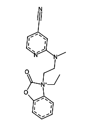 CC[N+]1(CCN(C)c2cc(C#N)ccn2)C(=O)Oc2ccccc21